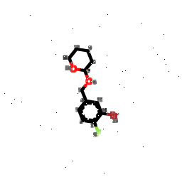 Fc1ccc(COC2CCCCO2)cc1Br